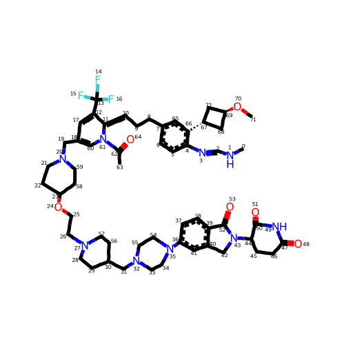 CN/C=N/c1ccc(CC/C=C2/C(C(F)(F)F)=CC(CN3CCC(OCCN4CCC(CN5CCN(c6ccc7c(c6)CN(C6CCC(=O)NC6=O)C7=O)CC5)CC4)CC3)=CN2C(C)=O)cc1[C@H]1C[C@H](OC)C1